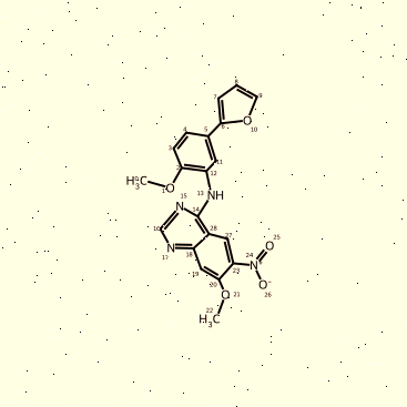 COc1ccc(-c2ccco2)cc1Nc1ncnc2cc(OC)c([N+](=O)[O-])cc12